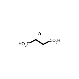 O=C(O)CCC(=O)O.[Zr]